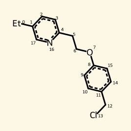 CCc1ccc(CCOc2ccc(CCl)cc2)nc1